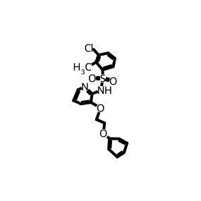 Cc1c(Cl)cccc1S(=O)(=O)Nc1ncccc1OCCOc1ccccc1